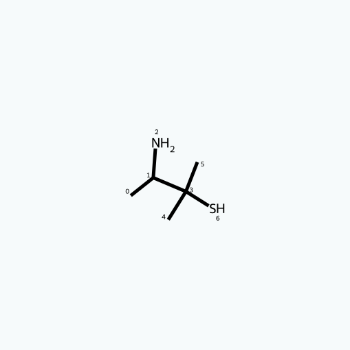 CC(N)C(C)(C)S